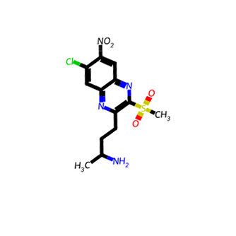 CC(N)CCc1nc2cc(Cl)c([N+](=O)[O-])cc2nc1S(C)(=O)=O